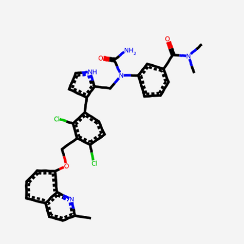 Cc1ccc2cccc(OCc3c(Cl)ccc(-c4cc[nH]c4CN(C(N)=O)c4cccc(C(=O)N(C)C)c4)c3Cl)c2n1